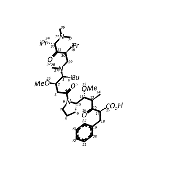 CC[C@H](C)[C@@H]([C@@H](CC(=O)N1CCC[C@H]1[C@H](OC)[C@@H](C)C(=O)[C@H](Cc1ccccc1)C(=O)O)OC)N(C)C[C@@H](C(=O)[C@H](C(C)C)N(C)C)C(C)C